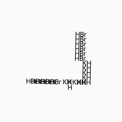 Br.Br.Br.Br.Br.Br.Br.Br.Br.Br.Br.Br.[KH].[KH].[KH].[KH].[KH].[KH].[KH].[KH].[KH]